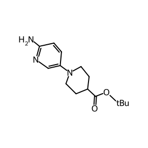 CC(C)(C)OC(=O)C1CCN(c2ccc(N)nc2)CC1